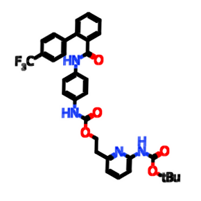 CC(C)(C)OC(=O)Nc1cccc(CCOC(=O)Nc2ccc(NC(=O)c3ccccc3-c3ccc(C(F)(F)F)cc3)cc2)n1